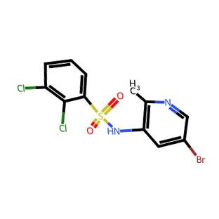 Cc1ncc(Br)cc1NS(=O)(=O)c1cccc(Cl)c1Cl